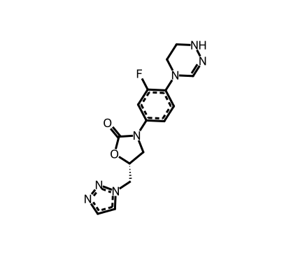 O=C1O[C@@H](Cn2ccnn2)CN1c1ccc(N2C=NNCC2)c(F)c1